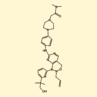 C=CCN1OCc2cnc(Nc3ccc(N4CCN(CC(=O)N(C)C)CC4)cc3)nc2N1c1cccc(C(C)(C)CO)n1